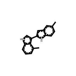 Cc1ccc2[nH]c(-c3c[nH]c4cccc(C)c34)[c]c2c1